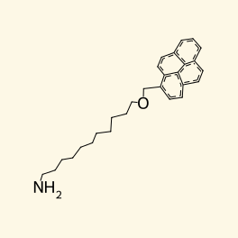 NCCCCCCCCCCCOCc1ccc2ccc3cccc4ccc1c2c34